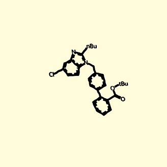 CCCCc1nc2cc(Cl)ccc2n1Cc1ccc(-c2ccccc2C(=O)OC(C)(C)C)cc1